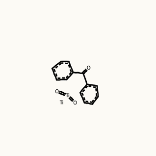 O=C(c1ccccc1)c1ccccc1.[O]=[Ti]=[O].[Ti]